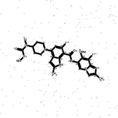 CCN(C(=O)OC(C)(C)C)C1CCN(c2cc(F)c(C(=O)Nc3cn4cc(C)nc4c(F)c3OC)c3[nH]c(C)cc23)CC1